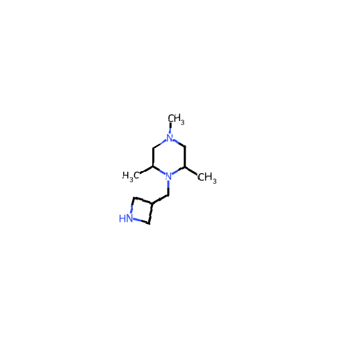 CC1CN(C)CC(C)N1CC1CNC1